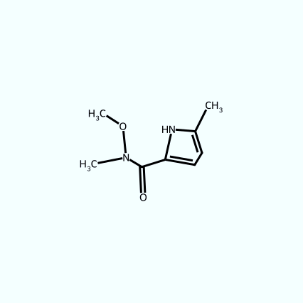 CON(C)C(=O)c1ccc(C)[nH]1